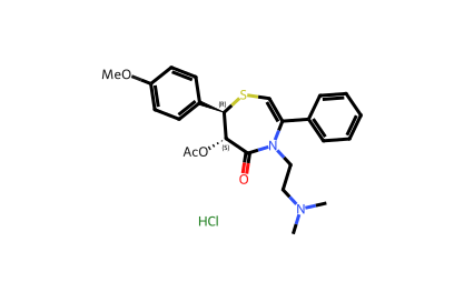 COc1ccc([C@H]2SC=C(c3ccccc3)N(CCN(C)C)C(=O)[C@@H]2OC(C)=O)cc1.Cl